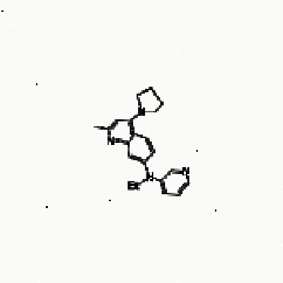 CCN(c1cccnc1)c1ccc2c(N3CCCC3)cc(C)nc2c1